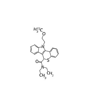 CCN(CC)C(=O)C1Sc2ccccc2-c2c1c1ccccc1n2CCO[11CH3]